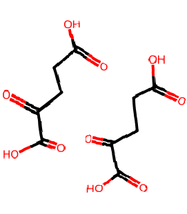 O=C(O)CCC(=O)C(=O)O.O=C(O)CCC(=O)C(=O)O